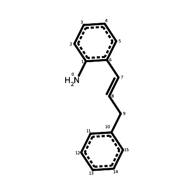 Nc1ccccc1C=CCc1ccccc1